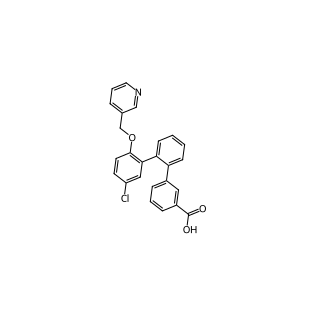 O=C(O)c1cccc(-c2ccccc2-c2cc(Cl)ccc2OCc2cccnc2)c1